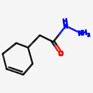 NNC(=O)CC1CC=CCC1